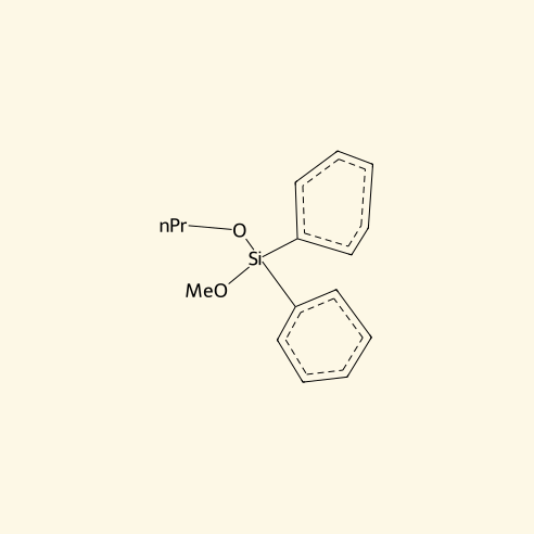 CCCO[Si](OC)(c1ccccc1)c1ccccc1